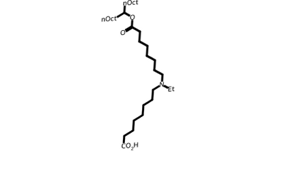 CCCCCCCCC(CCCCCCCC)OC(=O)CCCCCCCN(CC)CCCCCCCC(=O)O